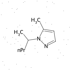 CCCC(C)n1nccc1C